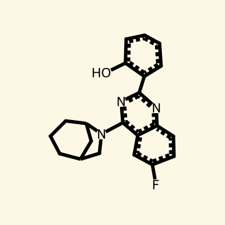 Oc1ccccc1-c1nc(N2CC3CCCC2C3)c2cc(F)ccc2n1